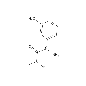 Cc1cccc(N(N)C(=O)C(F)F)c1